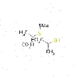 CC(S)C(=O)O.CSSC(C)C(=O)O